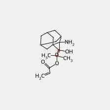 C=CC(=O)OC(C)(C)CC12CC3CC(CC(C3)C1(N)C(=O)O)C2